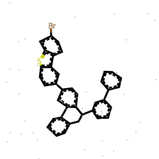 Brc1ccc2c(c1)sc1ccc(-c3ccc4c(c3)-c3ccccc3CC4c3cccc(-c4ccccc4)c3)cc12